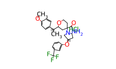 COc1ccc([C@H](C)C2CC(C(N)=O)(N3CC[C@@H](Oc4cccc(C(F)(F)F)c4)C3)CCO2)cc1.Cl